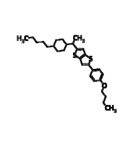 CCCCCC1CCC(C(C)c2cc3sc(-c4ccc(OCCCC)cc4)cc3s2)CC1